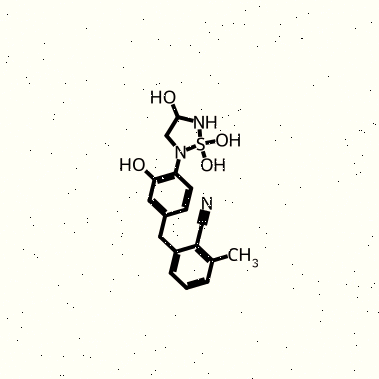 Cc1cccc(Cc2ccc(N3CC(O)NS3(O)O)c(O)c2)c1C#N